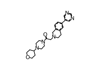 O=C(CN1CCc2cc(-c3cncnc3)ccc2C1)N1CCN(C2CCOCC2)CC1